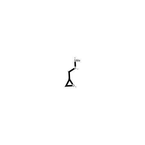 CSSCC1CO1